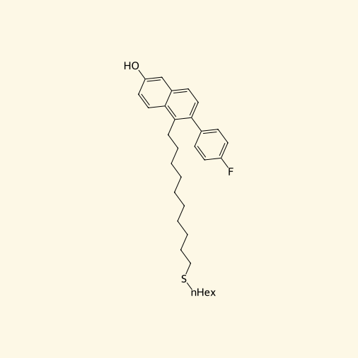 CCCCCCSCCCCCCCCCCc1c(-c2ccc(F)cc2)ccc2cc(O)ccc12